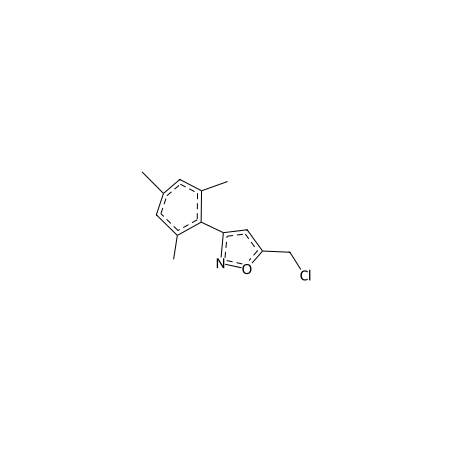 Cc1cc(C)c(-c2cc(CCl)on2)c(C)c1